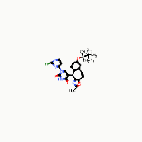 Cc1nc2c(o1)C=Cc1cc(O[Si](C)(C)C(C)(C)C)ccc1C2c1cn(-c2ccnc(Cl)n2)c(=O)[nH]c1=O